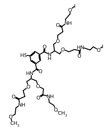 COCCNC(=O)CCOCC(COCC(=O)NCCOC)NC(=O)c1cc(S)cc(C(=O)NC(COCCC(=O)NCCOI)COCCC(=O)NCCOI)c1